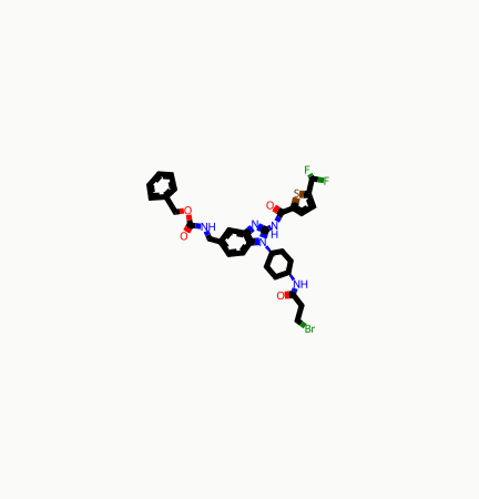 O=C(CCBr)N[C@H]1CC[C@@H](n2c(NC(=O)c3ccc(C(F)F)s3)nc3cc(CNC(=O)OCc4ccccc4)ccc32)CC1